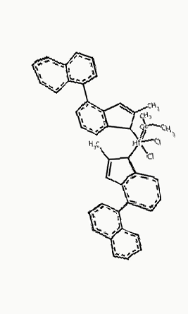 CC1=Cc2c(-c3cccc4ccccc34)cccc2[CH]1[Hf]([Cl])([Cl])([CH]1C(C)=Cc2c(-c3cccc4ccccc34)cccc21)=[Ge]([CH3])[CH3]